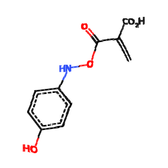 C=C(C(=O)O)C(=O)ONc1ccc(O)cc1